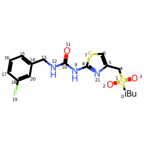 CCC(C)S(=O)(=O)Cc1csc(NC(=O)NCc2cccc(F)c2)n1